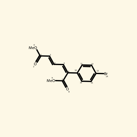 COC(=O)C=CC=C(C(=O)OC)c1ccc(Br)cc1